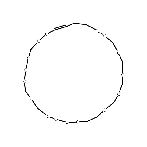 C1=C/CCCCCCCCCCCCCCCCCCCCCCCCCCC/1